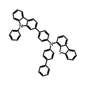 c1ccc(-c2ccc(N(c3ccc(-c4ccc5c6ccccc6n(-c6ccccc6)c5c4)cc3)c3cccc4c3sc3ccccc34)cc2)cc1